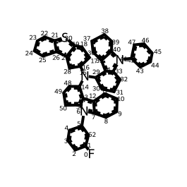 Fc1cccc(-n2c3ccccc3c3c(N(c4ccc5sc6ccccc6c5c4)c4cccc5c4c4ccccc4n5-c4ccccc4)cccc32)c1